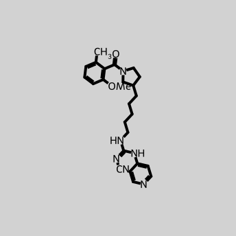 COc1cccc(C)c1C(=O)N1CCC(CCCCCN/C(=N/C#N)Nc2ccncc2)C1